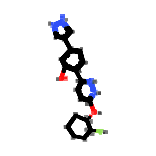 Oc1cc(-c2cn[nH]c2)ccc1-c1ccc(O[C@H]2CCCC[C@@H]2F)nn1